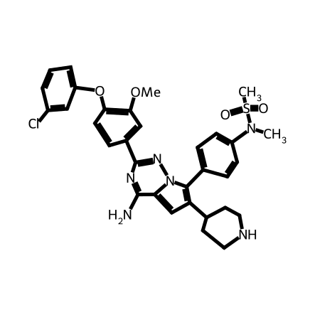 COc1cc(-c2nc(N)c3cc(C4CCNCC4)c(-c4ccc(N(C)S(C)(=O)=O)cc4)n3n2)ccc1Oc1cccc(Cl)c1